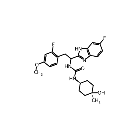 COc1ccc(CC(NC(=O)N[C@H]2CC[C@@](C)(O)CC2)c2nc3ccc(F)cc3[nH]2)c(F)c1